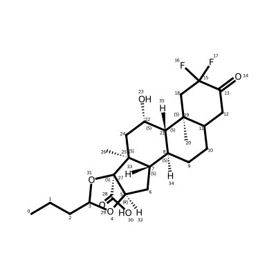 CCCC1O[C@@H]2C[C@H]3[C@@H]4CCC5CC(=O)C(F)(F)C[C@]5(C)[C@H]4[C@@H](O)C[C@]3(C)[C@]2(C(=O)O)O1